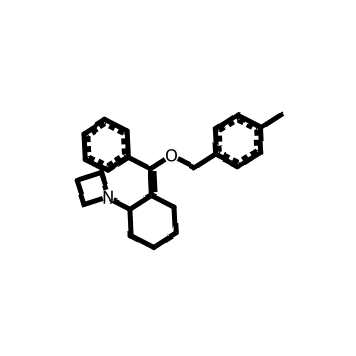 Cc1ccc(COC(=C2CCCCC2N2CCC2)c2ccccc2)cc1